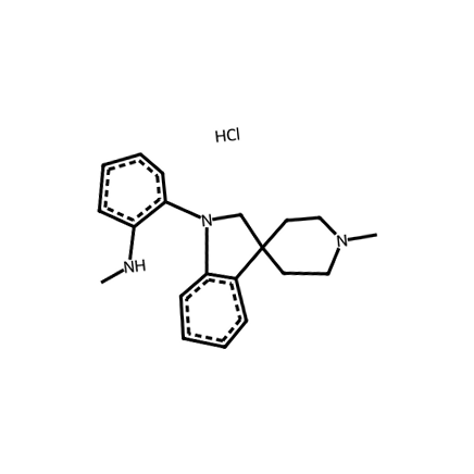 CNc1ccccc1N1CC2(CCN(C)CC2)c2ccccc21.Cl